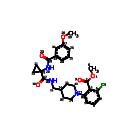 COC(=O)c1c(F)cccc1N1CCC(CNC(=O)C2(NC(=O)c3cccc(OC)c3)CC2)CC1